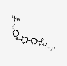 CCOC(=O)C(C)NC(=O)c1ccc(-c2cnc(Nc3ccc(OCCN(CC)CC)cc3)nc2)cc1